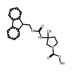 CC(C)(C)OC(=O)N1CCC(C#N)(NC(=O)OCC2c3ccccc3-c3ccccc32)C1